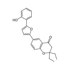 CCC1(CC)CC(=O)c2cc(-c3ccc(-c4ccccc4O)o3)ccc2O1